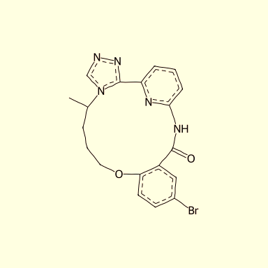 CC1CCCOc2ccc(Br)cc2C(=O)Nc2cccc(n2)-c2nncn21